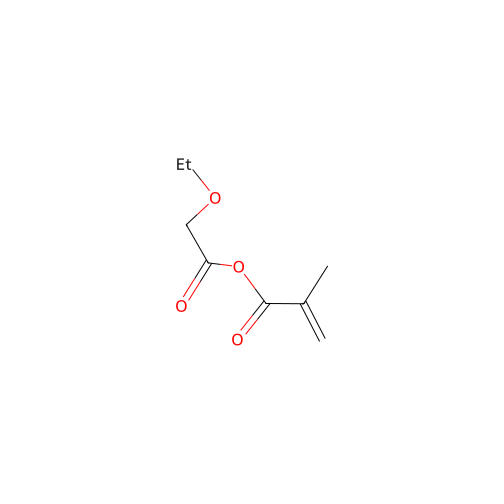 C=C(C)C(=O)OC(=O)COCC